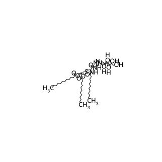 CCCCCCCCCCCC(=O)N[C@H](CSC[C@@H](COC(=O)CCCCCCCCCCC)OC(=O)CCCCCCCCCCC)C(=O)Nc1cn(C[C@H](O)[C@H](O)[C@H](O)[C@H](O)CO)nn1